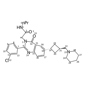 CCCNC(=O)Cn1c(-c2cccc(Cl)c2)nc2ccc([C@H]3C[C@H](CN4CCCCC4)C3)cc2c1=O